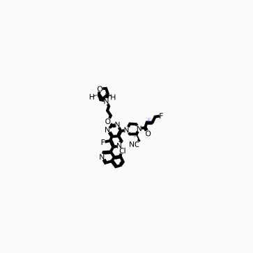 N#CC[C@H]1CN(c2nc(OCCCN3C[C@@H]4C[C@H]3CO4)nc3c(F)c(-c4cncc5cccc(Cl)c45)ncc23)CCN1C(=O)/C=C/CF